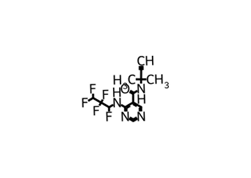 C#CC(C)(C)NC(=O)c1cncnc1NC(F)C(F)(F)C(F)F